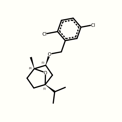 CC(C)[C@@]12CC[C@@](C)(O1)[C@@H](OCc1cc(Cl)ccc1Cl)C2